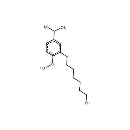 COc1ccc(C(C)C)cc1CCCCCCCO